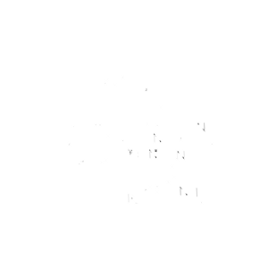 CN(C)Cc1nc(C(N)=O)nn1-c1ccc(Cl)cc1C(=O)c1ccccc1.Cl